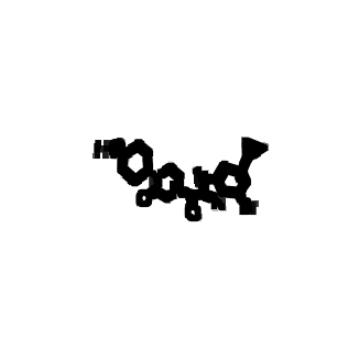 Cn1c(C(=O)N2CCN([C@H]3CC[C@H](O)CC3)C(=O)C2)nc2c(Br)cc(C3CC3)cc21